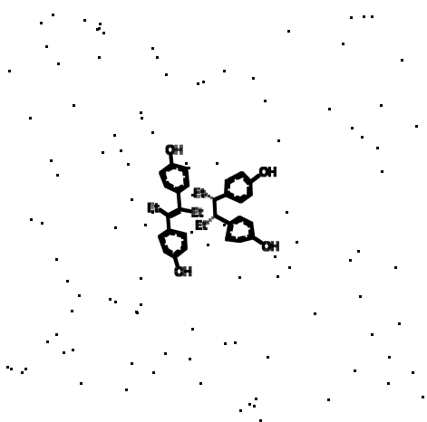 CC/C(=C(/CC)c1ccc(O)cc1)c1ccc(O)cc1.CC[C@H](c1ccc(O)cc1)[C@@H](CC)c1ccc(O)cc1